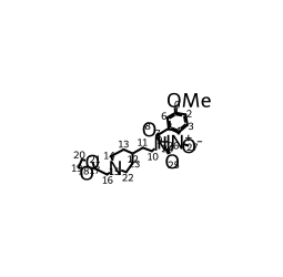 COc1ccc2c(c1)C(=O)N(CCC1CCN(CC3OCCO3)CC1)C(=O)[NH+]2[O-]